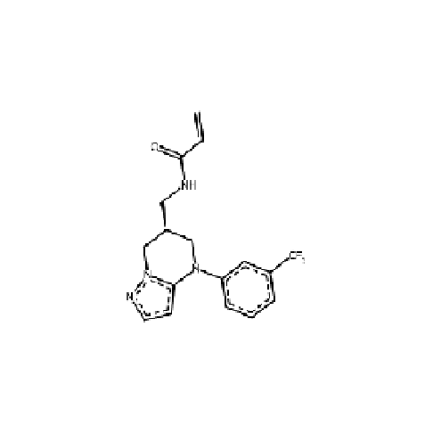 C=CC(=O)NC[C@H]1CN(c2cccc(C(F)(F)F)c2)c2ccnn2C1